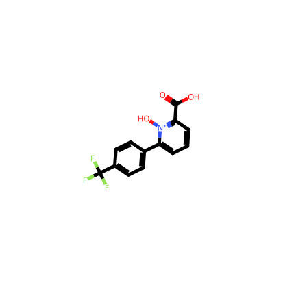 O=C(O)c1cccc(-c2ccc(C(F)(F)F)cc2)[n+]1O